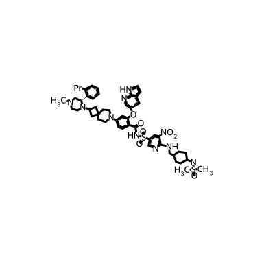 CC(C)c1ccccc1[C@H]1CN(C)CCN1C1CC2(CCN(c3ccc(C(=O)NS(=O)(=O)c4cnc(NCC5CCC(N=S(C)(C)=O)CC5)c([N+](=O)[O-])c4)c(Oc4cnc5[nH]ccc5c4)c3)CC2)C1